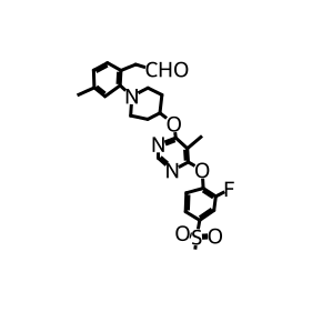 Cc1ccc(CC=O)c(N2CCC(Oc3ncnc(Oc4ccc(S(C)(=O)=O)cc4F)c3C)CC2)c1